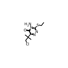 CCSc1nnc(C(C)(C)CCl)c(=O)n1N